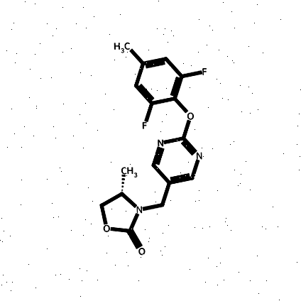 Cc1cc(F)c(Oc2ncc(CN3C(=O)OC[C@@H]3C)cn2)c(F)c1